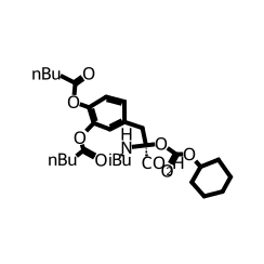 CCCCC(=O)Oc1ccc(C[C@](NC(C)CC)(OC(=O)OC2CCCCC2)C(=O)O)cc1OC(=O)CCCC